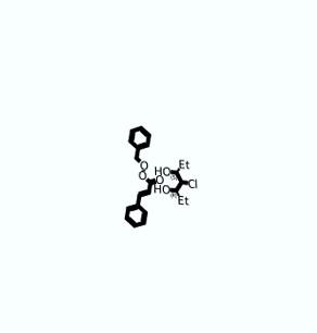 CC[C@@H](O)C(Cl)[C@@H](O)CC.O=C(C=Cc1ccccc1)OOCc1ccccc1